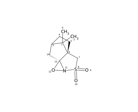 CC1(C)C2CC[C@]13CS(=O)(=O)N1O[C@]13C2